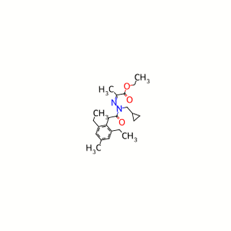 CCOC(=O)C(C)=NN(CC1CC1)C(=O)Cc1c(CC)cc(C)cc1CC